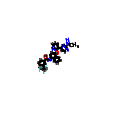 CNc1nccc(-c2cccnc2Oc2ccc(NC(=O)c3cccc(C(F)(F)F)c3)c3ccccc23)n1